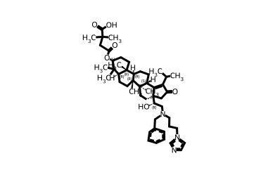 CC(C)C1=C2[C@H]3CC[C@@H]4[C@@]5(C)CC[C@H](OC(=O)CC(C)(C)C(=O)O)C(C)(C)[C@@H]5CC[C@@]4(C)[C@]3(C)CC[C@@]2([C@@H](O)CN(CCCn2ccnc2)Cc2ccccc2)CC1=O